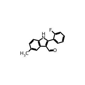 Cc1ccc2[nH]c(-c3ccccc3F)c(C=O)c2c1